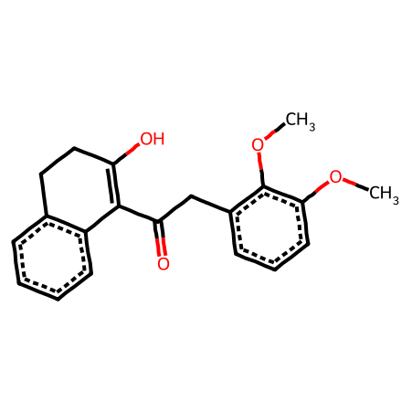 COc1cccc(CC(=O)C2=C(O)CCc3ccccc32)c1OC